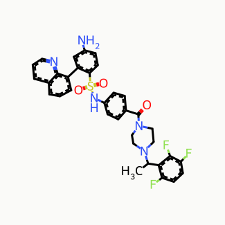 CC(c1c(F)ccc(F)c1F)N1CCN(C(=O)c2ccc(NS(=O)(=O)c3ccc(N)cc3-c3cccc4cccnc34)cc2)CC1